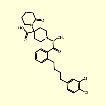 CN(C(=O)c1ccccc1CCCCc1ccc(Cl)c(Cl)c1)N1CCC(C(=O)O)(N2CCCCC2=O)CC1